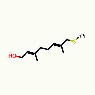 CCCSC/C(C)=C/CC/C(C)=C/CO